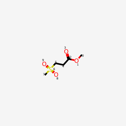 COC(=O)CCS(C)(=O)=O